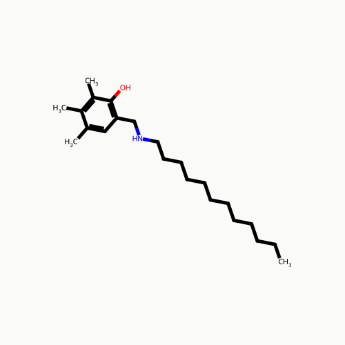 CCCCCCCCCCCCNCc1cc(C)c(C)c(C)c1O